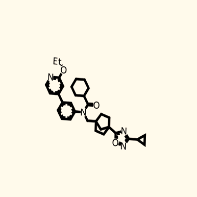 CCOc1cc(-c2cccc(N(CC34CCC(c5nc(C6CC6)no5)(CC3)C4)C(=O)C3CCCCC3)c2)ccn1